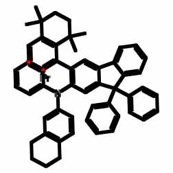 CC(C)c1ccc2c(c1-c1cc3c(cc1N(c1ccccc1)c1ccc4c(c1)CCCC4)C(c1ccccc1)(c1ccccc1)c1ccccc1-3)C(C)(C)CCC2(C)C